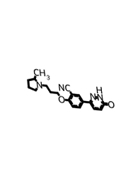 CC1CCCN1CCCOc1ccc(-c2ccc(=O)[nH]n2)cc1C#N